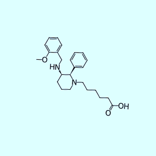 COc1ccccc1CN[C@@H]1CCCN(CCCCCC(=O)O)[C@@H]1c1ccccc1